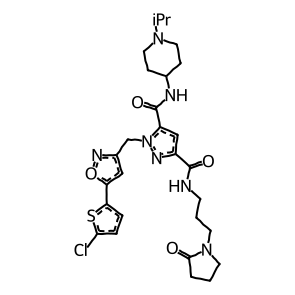 CC(C)N1CCC(NC(=O)c2cc(C(=O)NCCCN3CCCC3=O)nn2Cc2cc(-c3ccc(Cl)s3)on2)CC1